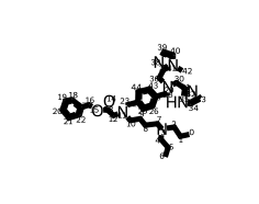 CCCN(CCC)CCCCN(CC(=O)OCc1ccccc1)Cc1ccc(CN(Cc2ncc[nH]2)Cc2nccn2C)cc1